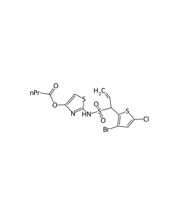 C=CC(c1sc(Cl)cc1Br)S(=O)(=O)Nc1nc(OC(=O)CCC)cs1